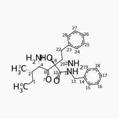 CC[C@H](C)[C@H](N)C(=O)[C@@](O)(C(=O)NCc1ccccc1)[C@@H](N)Cc1ccccc1